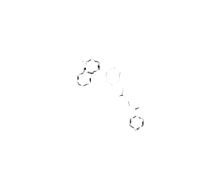 O=C(C[C@H]1CC[C@H](c2ccnc3ccccc32)CC1)OCC(=O)c1ccccc1